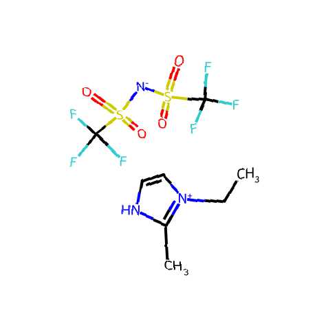 CC[n+]1cc[nH]c1C.O=S(=O)([N-]S(=O)(=O)C(F)(F)F)C(F)(F)F